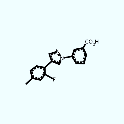 Cc1ccc(-c2cnn(-c3cccc(C(=O)O)c3)c2)c(F)c1